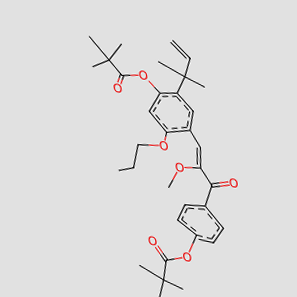 C=CC(C)(C)c1cc(C=C(OC)C(=O)c2ccc(OC(=O)C(C)(C)C)cc2)c(OCCC)cc1OC(=O)C(C)(C)C